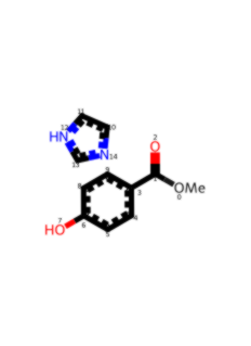 COC(=O)c1ccc(O)cc1.c1c[nH]cn1